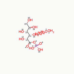 O.O.O.O.O=C(OP(=O)(O)O)[C@H](O)[C@@H](O)[C@H](O)[C@H](O)CO